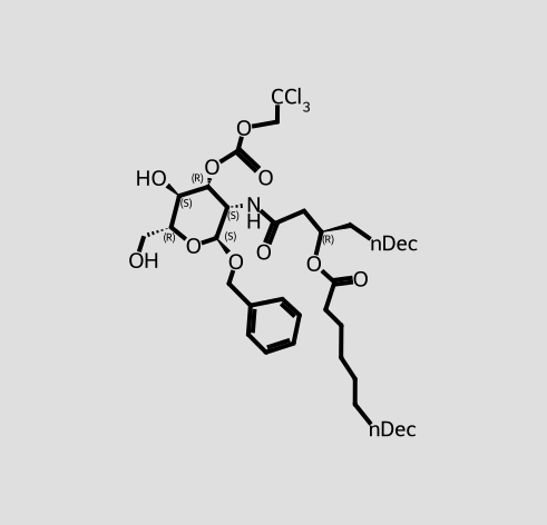 CCCCCCCCCCCCCCCC(=O)O[C@H](CCCCCCCCCCC)CC(=O)N[C@@H]1[C@@H](OCc2ccccc2)O[C@H](CO)[C@@H](O)[C@@H]1OC(=O)OCC(Cl)(Cl)Cl